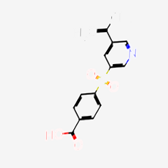 C=C(C)c1cncc(S(=O)(=O)c2ccc(C(=O)O)cc2)c1